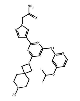 CC(=O)N1CCC2(CC1)CN(c1cc(Nc3cc(OC(F)F)ccn3)nc(-c3cnn(CC(N)=O)c3)n1)C2